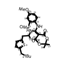 CCCCCCC(Cc1ccc(CC(C)(C)C)s1)NC(Nc1ccc(OC)cc1OC)=C1C(=O)OC(C)(C)OC1=O